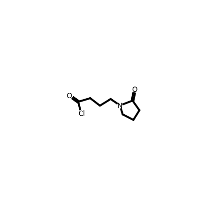 O=C(Cl)CCCN1CCCC1=O